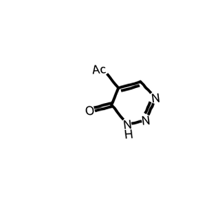 CC(=O)c1cnn[nH]c1=O